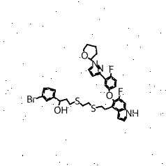 OC(CCSCCSCCc1c(Oc2ccc(F)c(-c3ccn(C4CCCCO4)n3)c2)c(F)cc2[nH]ccc12)c1cccc(Br)c1